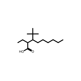 CCCCCCC(C(CC)C(=O)O)C(C)(C)C